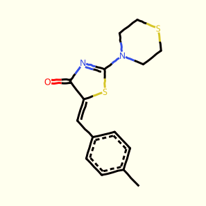 Cc1ccc(/C=C2\SC(N3CCSCC3)=NC2=O)cc1